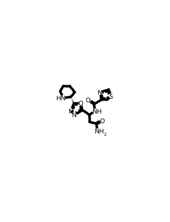 NC(=O)CC(NC(=O)c1cscn1)c1nnc([C@H]2CCCCN2)o1